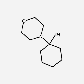 SC1(N2CCOCC2)CCCCC1